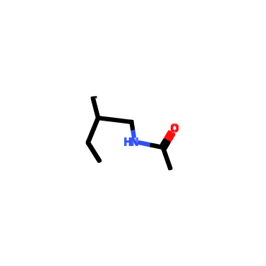 [CH2]C(CC)CNC(C)=O